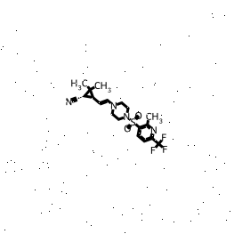 Cc1nc(C(F)(F)F)ccc1S(=O)(=O)N1CCN(/C=C/C2[C@H](C#N)C2(C)C)CC1